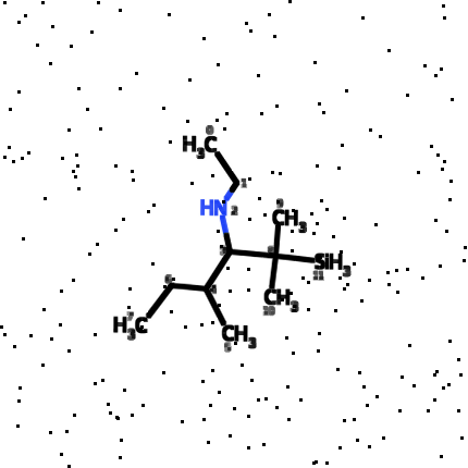 CCNC(C(C)CC)C(C)(C)[SiH3]